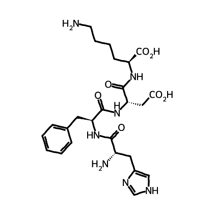 NCCCC[C@H](NC(=O)[C@H](CC(=O)O)NC(=O)[C@H](Cc1ccccc1)NC(=O)[C@@H](N)Cc1c[nH]cn1)C(=O)O